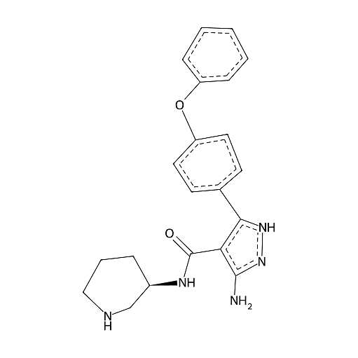 Nc1n[nH]c(-c2ccc(Oc3ccccc3)cc2)c1C(=O)N[C@@H]1CCCNC1